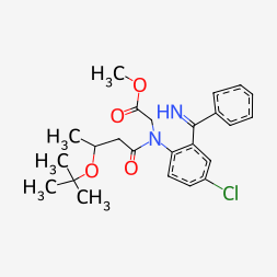 COC(=O)CN(C(=O)CC(C)OC(C)(C)C)c1ccc(Cl)cc1C(=N)c1ccccc1